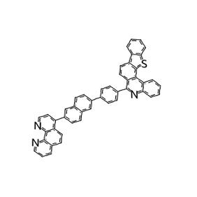 c1cnc2c(c1)ccc1c(-c3ccc4cc(-c5ccc(-c6nc7ccccc7c7c6ccc6c8ccccc8sc67)cc5)ccc4c3)ccnc12